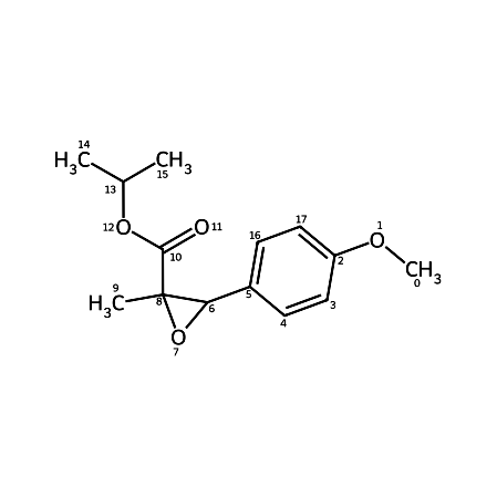 COc1ccc(C2OC2(C)C(=O)OC(C)C)cc1